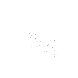 COc1ccc(CC(C(CNC(=O)c2ccccc2O)NC(=O)C2CCOC2)S(=O)(=O)CC2CCCCC2)cc1